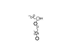 CCOC(=O)C[C@H]1CCNCC1c1cccc(OCCc2nc(-c3ccccc3)oc2C)c1